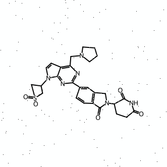 O=C1CCC(N2Cc3cc(-c4nc(CN5CCCC5)c5ccn(C6CS(=O)(=O)C6)c5n4)ccc3C2=O)C(=O)N1